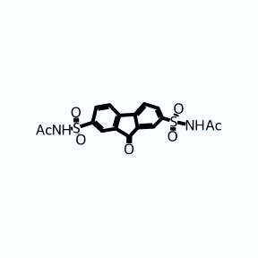 CC(=O)NS(=O)(=O)c1ccc2c(c1)C(=O)c1cc(S(=O)(=O)NC(C)=O)ccc1-2